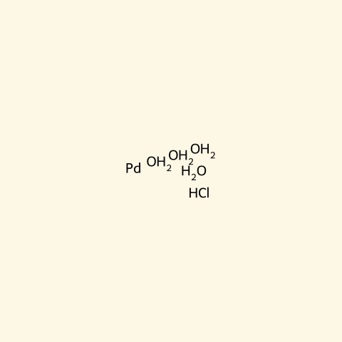 Cl.O.O.O.O.[Pd]